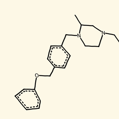 CCN1CCN(Cc2ccc(COc3ccccc3)cc2)C(C)C1